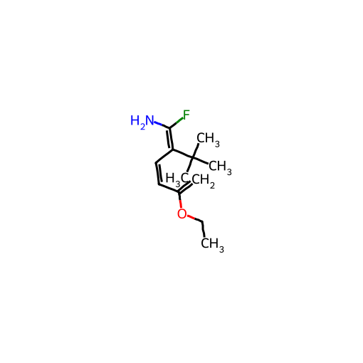 C=C(/C=C\C(=C(/N)F)C(C)(C)C)OCC